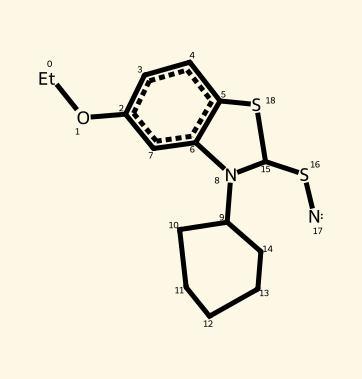 CCOc1ccc2c(c1)N(C1CCCCC1)C(S[N])S2